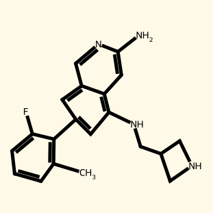 Cc1cccc(F)c1-c1cc(NCC2CNC2)c2cc(N)ncc2c1